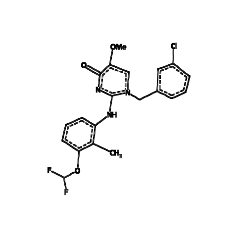 COc1cn(Cc2cccc(Cl)c2)c(Nc2cccc(OC(F)F)c2C)nc1=O